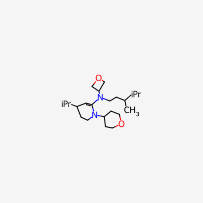 CC(C)C(C)CCN(C1=CC(C(C)C)CCN1C1CCOCC1)C1COC1